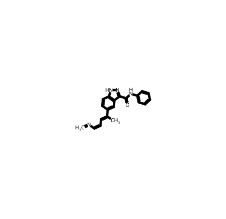 C=N/C=C\C=C(/C)c1ccc2[nH]nc(C(=O)Nc3ccccc3)c2c1